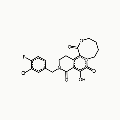 O=C1OCCCCn2c1c1c(c(O)c2=O)C(=O)N(Cc2ccc(F)c(Cl)c2)CC1